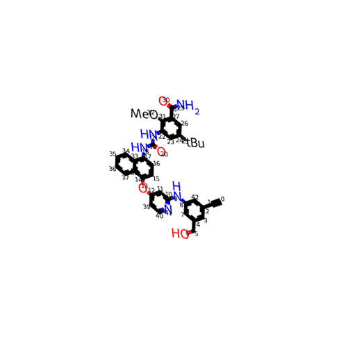 C#Cc1cc(CO)cc(Nc2cc(Oc3ccc(NC(=O)Nc4cc(C(C)(C)C)cc(C(N)=O)c4OC)c4ccccc34)ccn2)c1